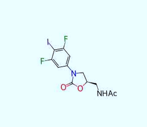 CC(=O)NC[C@@H]1CN(c2cc(F)c(I)c(F)c2)C(=O)O1